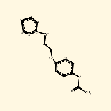 CC(=O)Cc1ccc(SCCOc2ccccc2)cc1